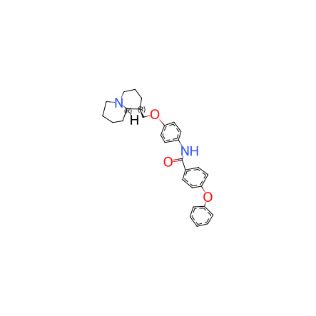 O=C(Nc1ccc(OC[C@@H]2CCCN3CCCC[C@H]23)cc1)c1ccc(Oc2ccccc2)cc1